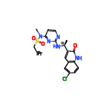 CC(C)CS(=O)(=O)N(C)c1ccnc(N[C@@H](C)c2cc3cc(Cl)ccc3[nH]c2=O)n1